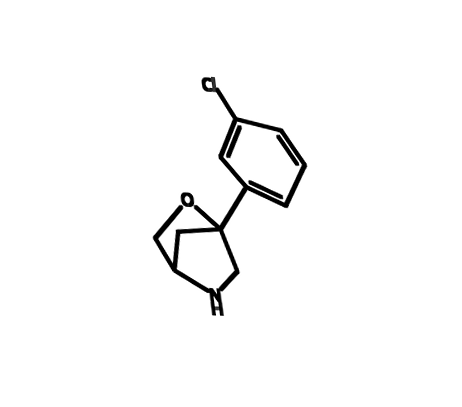 Clc1cccc(C23CNC(CO2)C3)c1